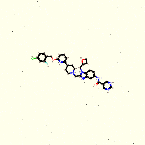 O=C(Nc1ccc2c(c1)nc(CN1CCC(c3cccc(OCc4ccc(Cl)cc4F)n3)CC1)n2CC1CCO1)c1cncnc1